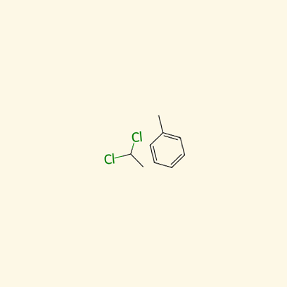 CC(Cl)Cl.Cc1ccccc1